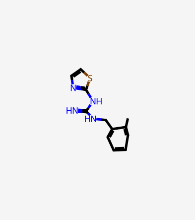 Cc1ccccc1CNC(=N)Nc1nccs1